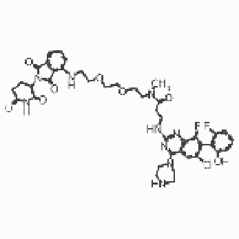 CN(CCOCCOCCNc1cccc2c1C(=O)N(C1CCC(=O)NC1=O)C2=O)C(=O)CCNc1nc(N2CCNCC2)c2cc(Cl)c(-c3c(O)cccc3F)c(F)c2n1